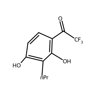 CCCc1c(O)ccc(C(=O)C(F)(F)F)c1O